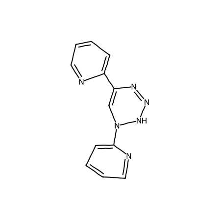 C1=C(c2ccccn2)N=NNN1c1ccccn1